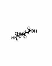 CNC(=O)ONC(=O)CCC(=O)O